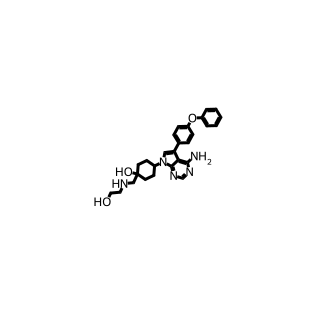 Nc1ncnc2c1c(-c1ccc(Oc3ccccc3)cc1)cn2C1CCC(O)(CNCCO)CC1